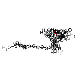 C=C(SC(N)CCCC)c1ccc(-n2cc(COCCOCCOCCOCCOCCC(=O)N[C@H](C(=O)N[C@@H](CCCNC(N)=O)C(=O)Nc3ccc(COC(=O)N(C)[C@H](C(=O)NC(C(=O)N(C)[C@@H]([C@@H](C)CC)[C@@H](CC(=O)N4CCC[C@H]4[C@H](OC)[C@@H](C)C(=O)N[C@H](C)[C@@H](O)c4ccccc4)OC)C(C)C)C(C)C)cc3)C(C)C)nn2)cc1